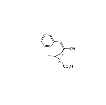 CC1[C@@H](C(=O)O)[C@@H]1C(C#N)=Cc1ccccc1